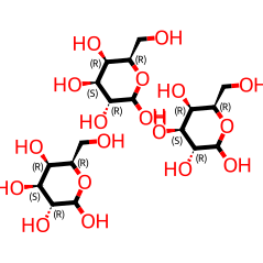 OC[C@H]1OC(O)[C@H](O)[C@@H](O)[C@H]1O.OC[C@H]1OC(O)[C@H](O)[C@@H](O)[C@H]1O.OC[C@H]1OC(O)[C@H](O)[C@@H](O)[C@H]1O